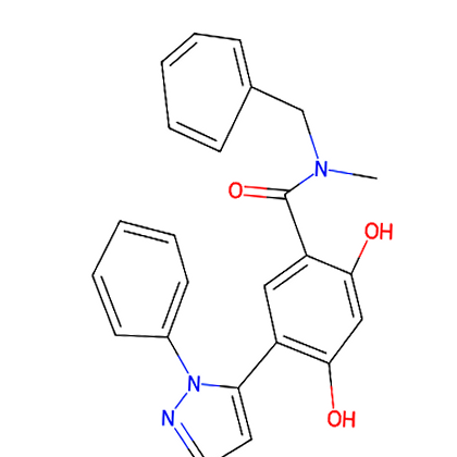 CN(Cc1ccccc1)C(=O)c1cc(-c2ccnn2-c2ccccc2)c(O)cc1O